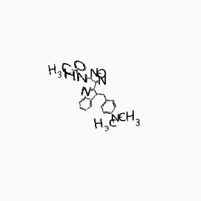 CC(=O)Nc1nonc1C1=Nc2ccccc2C1Cc1ccc(N(C)C)cc1